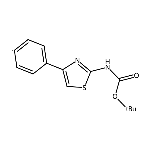 CC(C)(C)OC(=O)Nc1nc(-c2cc[c]cc2)cs1